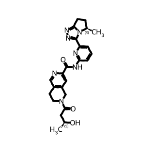 C[C@H](O)CC(=O)N1CCc2cnc(C(=O)Nc3cccc(-c4nnc5n4[C@H](C)CC5)n3)cc2C1